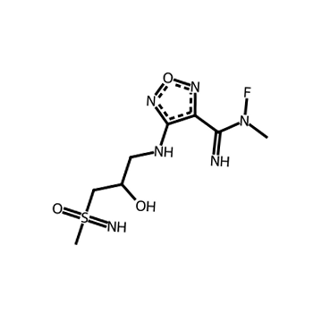 CN(F)C(=N)c1nonc1NCC(O)CS(C)(=N)=O